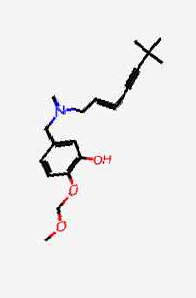 COCOc1ccc(CN(C)C/C=C/C#CC(C)(C)C)cc1O